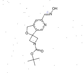 CC(C)(C)OC(=O)N1CC2(C1)OCc1cc(/C=N/O)ncc12